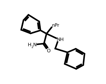 CCCC(NCc1ccccc1)(C(N)=O)c1ccccc1